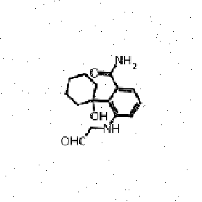 NC(=O)c1cccc(NCC=O)c1C1(O)CCCCC1